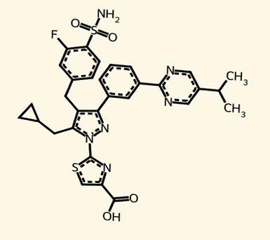 CC(C)c1cnc(-c2cccc(-c3nn(-c4nc(C(=O)O)cs4)c(CC4CC4)c3Cc3ccc(S(N)(=O)=O)c(F)c3)c2)nc1